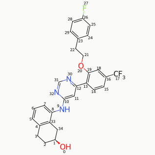 O[C@H]1CCc2cccc(Nc3cc(-c4ccc(C(F)(F)F)cc4OCCc4ccc(F)cc4)ncn3)c2C1